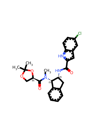 CN(C(=O)[C@H]1COC(C)(C)O1)[C@H]1c2ccccc2C[C@H]1NC(=O)c1cc2cc(Cl)ccc2[nH]1